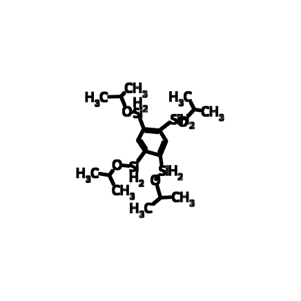 CC(C)O[SiH2]c1cc([SiH2]OC(C)C)c([SiH2]OC(C)C)cc1[SiH2]OC(C)C